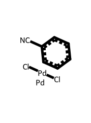 N#Cc1ccccc1.[Cl][Pd][Cl].[Pd]